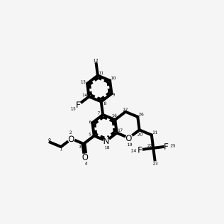 CCOC(=O)c1cc(-c2ccc(C)cc2F)c2c(n1)OC(CC(C)(F)F)CC2